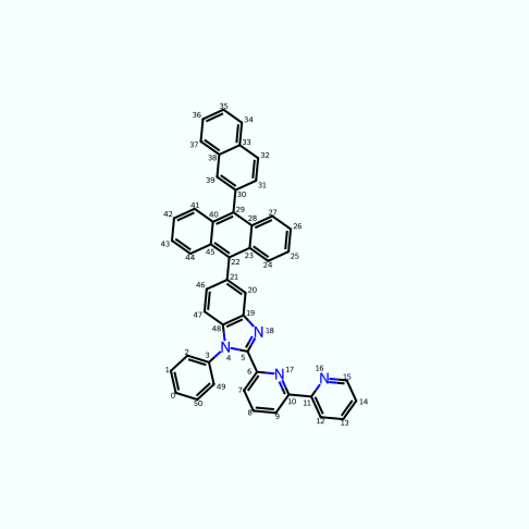 c1ccc(-n2c(-c3cccc(-c4ccccn4)n3)nc3cc(-c4c5ccccc5c(-c5ccc6ccccc6c5)c5ccccc45)ccc32)cc1